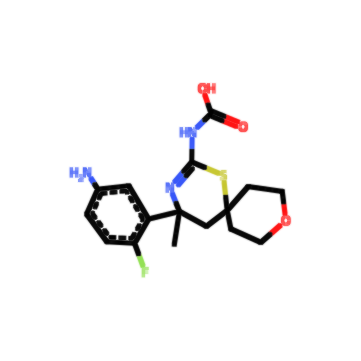 CC1(c2cc(N)ccc2F)CC2(CCOCC2)SC(NC(=O)O)=N1